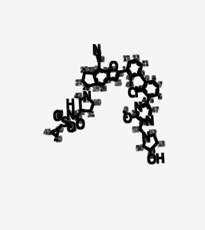 COc1nc(-c2cccc(-c3cccc(-c4cc5cc6c(c(C#N)c5o4)CC[C@H]6N4CC[C@@H](C(=O)NS(=O)(=O)C5CC5)C4)c3C)c2Cl)cnc1CN1CC[C@@H](O)C1